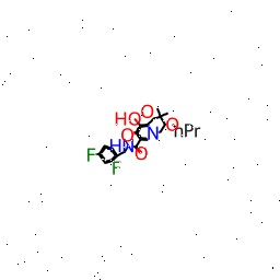 CCCO[C@H]1Cn2cc(C(=O)NCc3ccc(F)cc3F)c(=O)c(O)c2C(=O)C1(C)C